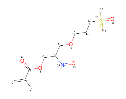 C=C(C)C(=O)OCC(COCCC[SH](C)(C)=O)N=O